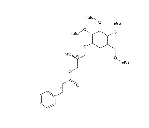 CCCCOCC1CC(OC[C@H](O)COC(=O)/C=C/c2ccccc2)C(OCCCC)C(OCCCC)C1OCCCC